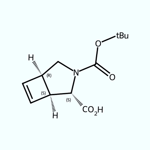 CC(C)(C)OC(=O)N1C[C@@H]2C=C[C@@H]2[C@H]1C(=O)O